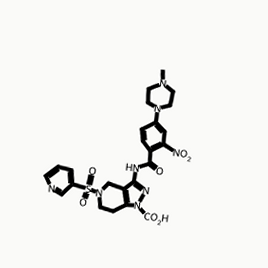 CN1CCN(c2ccc(C(=O)Nc3nn(C(=O)O)c4c3CN(S(=O)(=O)c3cccnc3)CC4)c([N+](=O)[O-])c2)CC1